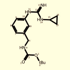 CC(C)(C)OC(=O)NCc1cccc(NC(=N)NC2CC2)c1